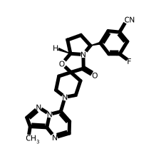 Cc1cnn2c(N3CCC4(CC3)O[C@@H]3CC[C@@H](c5cc(F)cc(C#N)c5)N3C4=O)ccnc12